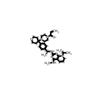 C=CC(=O)N1CCN(C2(c3ccc([C@H](C)Nc4nc(NC)c5c(n4)N(C(C)C)CC=C5)cc3)CCOCC2)CC1